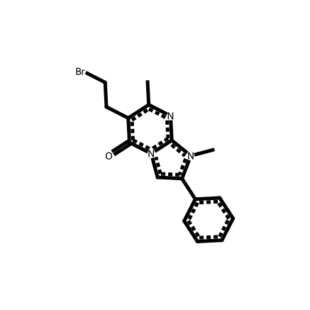 Cc1nc2n(C)c(-c3ccccc3)cn2c(=O)c1CCBr